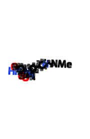 CNCCN1CCC(c2ccc3c(c2)n(C)c(=O)n3C2CCC(=O)NC2=O)CC1